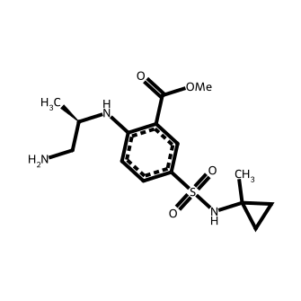 COC(=O)c1cc(S(=O)(=O)NC2(C)CC2)ccc1N[C@H](C)CN